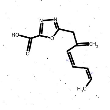 C=C(/C=C\C=C/C)Cc1nnc(C(=O)O)o1